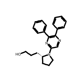 OCCC[C@H]1CCCN1c1cnc(-c2ccccc2)c(-c2ccccc2)n1